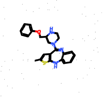 Cc1cc2c(s1)Nc1ccccc1N=C2N1CCNC(COc2ccccc2)C1